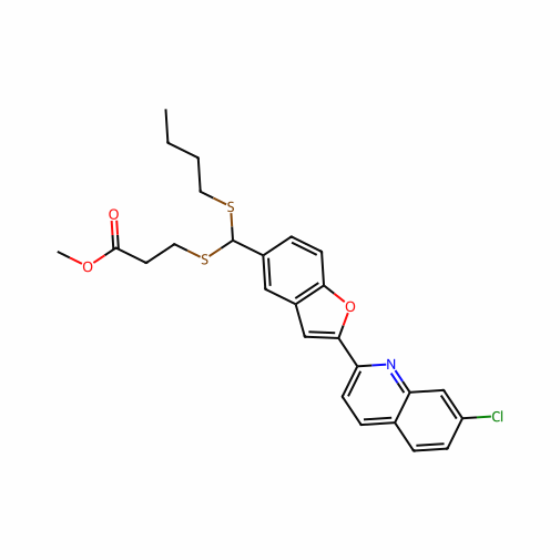 CCCCSC(SCCC(=O)OC)c1ccc2oc(-c3ccc4ccc(Cl)cc4n3)cc2c1